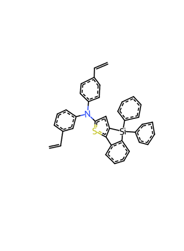 C=Cc1ccc(N(c2cccc(C=C)c2)c2cc3c(s2)-c2ccccc2[Si]3(c2ccccc2)c2ccccc2)cc1